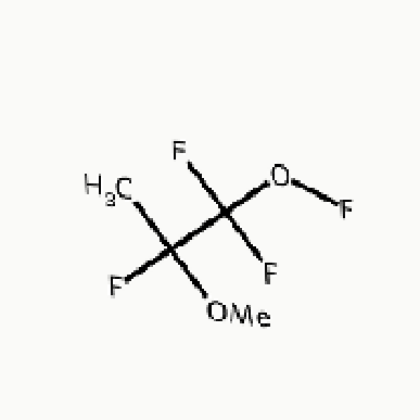 COC(C)(F)C(F)(F)OF